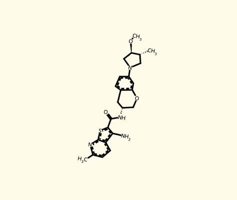 CO[C@@H]1CN(c2ccc3c(c2)OC[C@H](NC(=O)c2sc4nc(C)ccc4c2N)C3)C[C@H]1C